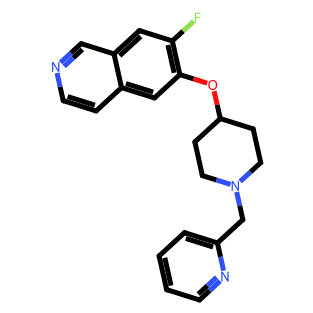 Fc1cc2cnccc2cc1OC1CCN(Cc2ccccn2)CC1